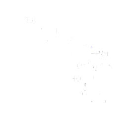 O=C(O)C(Cc1ccccc1)N1C(=O)/C(=C\c2ccc(-c3ccc(Cl)cc3)s2)NC1=S